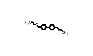 C=CCOCc1ccc(-c2ccc(CCCC)cc2)cc1